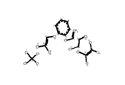 C=CCl.ClC(Cl)(Cl)Cl.ClC(Cl)=C(Cl)Cl.ClC=C(Cl)Cl.ClCCCl.c1ccccc1